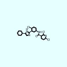 O=C(Nc1ccc(Cl)c(-c2ncc(-c3ccccc3)[nH]2)c1)c1ccc(Cl)nc1Cl